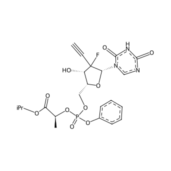 C#CC1(F)[C@@H](O)[C@@H](COP(=O)(Oc2ccccc2)O[C@@H](C)C(=O)OC(C)C)O[C@H]1n1cnc(=O)[nH]c1=O